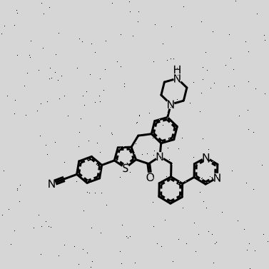 N#Cc1ccc(-c2cc3c(s2)C(=O)N(Cc2ccccc2-c2cncnc2)c2ccc(N4CCNCC4)cc2C3)cc1